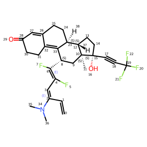 C=C/C(=C\C(F)=C(/F)[C@H]1C[C@@]2(C)[C@@H](CC[C@@]2(O)C#CC(F)(F)F)[C@@H]2CCC3=CC(=O)CCC3=C21)N(C)C